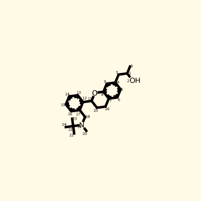 CC(O)Cc1ccc2c(c1)OC(c1ccccc1CN(C)C(C)(C)C)CC2